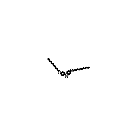 CCCCCCCCCCCCOc1ccc([S+]([O-])c2ccc(OCCCCCCCCCCCC)cc2)cc1